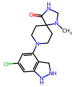 CN1CNC(=O)C12CCN(c1cc(Cl)cc3c1CNN3)CC2